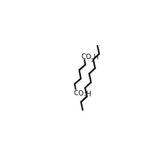 CCCCCCCCCC.O=C(O)CCCCC(=O)O